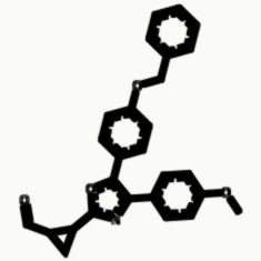 COc1ccc(-c2nc(C3CC3C=O)oc2-c2ccc(OCc3ccccc3)cc2)cc1